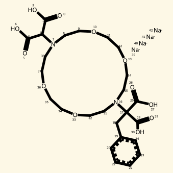 O=C(O)C(C(=O)O)N1CCOCCOCCN(C(Cc2ccccc2)(C(=O)O)C(=O)O)CCOCCOCC1.[Na].[Na].[Na].[Na]